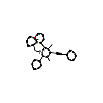 Cc1c(C#Cc2ccccc2)c(C)c(-c2ccccc2)[n+](Cc2ccccc2)c1-c1ccccc1